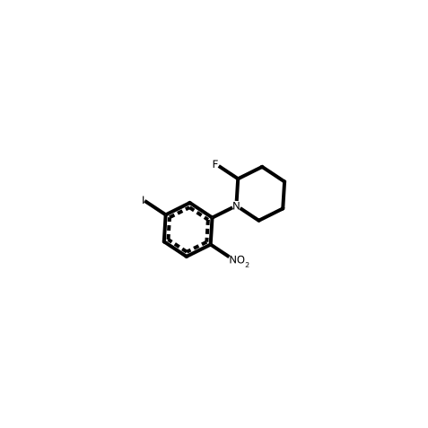 O=[N+]([O-])c1ccc(I)cc1N1CCCCC1F